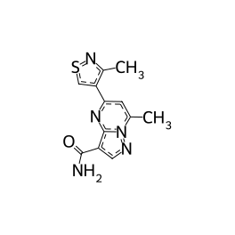 Cc1nscc1-c1cc(C)n2ncc(C(N)=O)c2n1